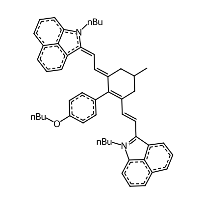 CCCCOc1ccc(C2=C(/C=C/C3=[N+](CCCC)c4cccc5cccc3c45)CC(C)C/C2=C\C=c2/c3cccc4cccc(c43)n2CCCC)cc1